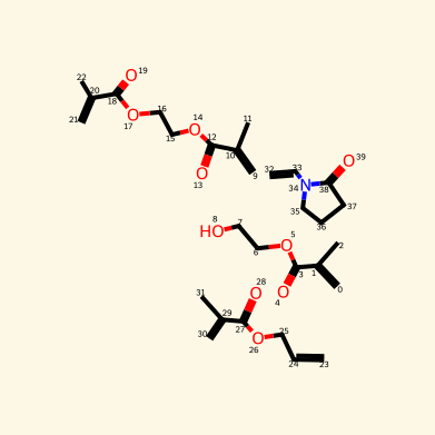 C=C(C)C(=O)OCCO.C=C(C)C(=O)OCCOC(=O)C(=C)C.C=CCOC(=O)C(=C)C.C=CN1CCCC1=O